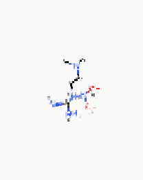 CN(C)CCN(C(=N)N)N(O)O